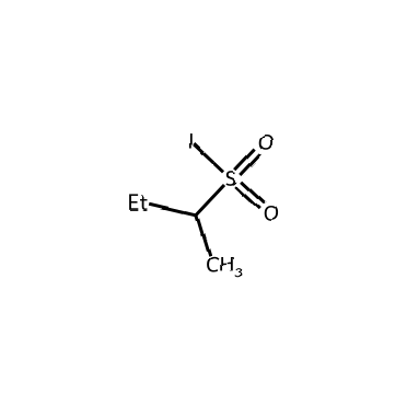 CCC(C)S(=O)(=O)I